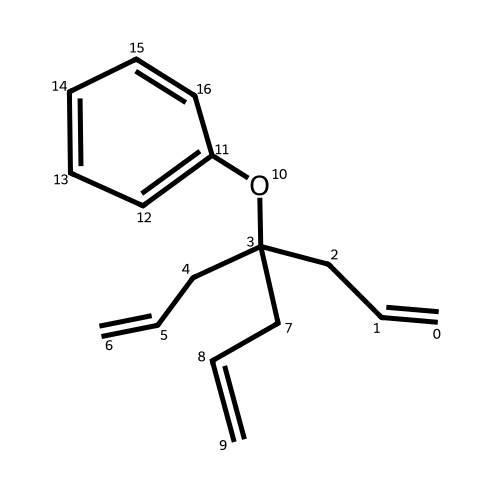 C=CCC(CC=C)(CC=C)Oc1ccccc1